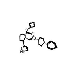 O=C(OC1CCC1)N1CCC[C@H](c2cc[nH]n2)[C@@H]1CO[C@H]1CC[C@@H](c2ccccc2)CC1